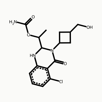 CC(OC(N)=O)C1Nc2cccc(Cl)c2C(=O)N1C1CC(CO)C1